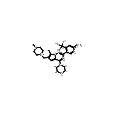 Cc1c(CN2CCN(C)CC2)cc2c(N3CCOCC3)nc(-c3cnc(N)cc3C(F)(F)F)nn12